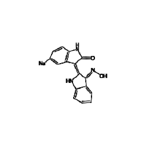 O=C1Nc2cc[c]([Na])cc2C1=C1Nc2ccccc2C1=NO